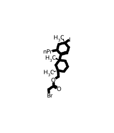 CCCC1C[C@@](C)(I)CC=C1[C@]1(C)CCC[C@@](C)(COC(=O)CBr)C1